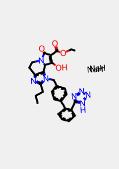 CCCc1nc2c(n1Cc1ccc(-c3ccccc3-c3nnn[nH]3)cc1)C1C(O)=C(C(=O)OCC)C(=O)N1CC2.[NaH].[NaH]